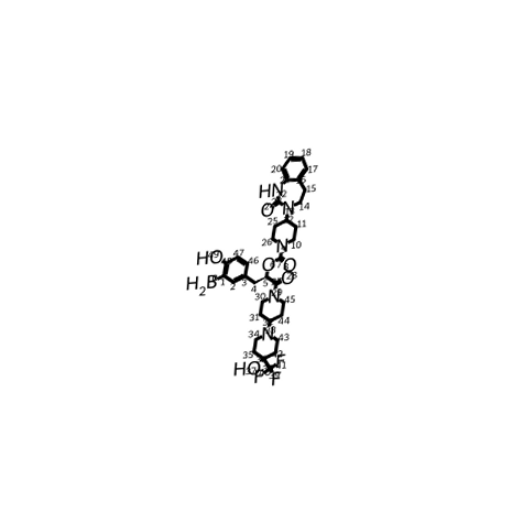 Bc1cc(C[C@@H](OC(=O)N2CCC(N3CCc4ccccc4NC3=O)CC2)C(=O)N2CCC(N3CCC(O)(C(F)(F)F)CC3)CC2)ccc1O